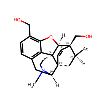 CC(=O)[C@H]1C[C@@]23C=C[C@]1(CO)[C@@H]1Oc4c(CO)ccc5c4[C@@]12CCN(C)[C@@H]3C5